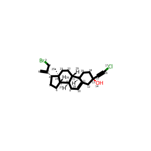 C=C(CBr)[C@H]1CC[C@H]2[C@@H]3CC=C4C[C@@](O)(C#CCl)CC[C@@H]4[C@H]3CC[C@]12C